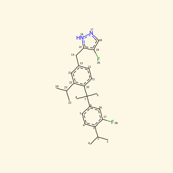 CC(C)c1ccc(C(C)(C)c2ccc(Cc3[nH]ncc3F)cc2C(C)C)cc1F